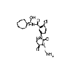 NCCn1c(=O)cnn(-c2ccc(Cl)c(C(=O)NC(O)C3CCCCCC3)c2)c1=O